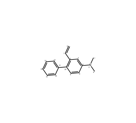 C=Cc1cc(N(C)C)ccc1-c1ccccc1